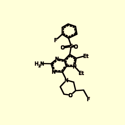 CCc1c(S(=O)(=O)c2ccccc2F)c2nc(N)nc(N3CCOC(CF)C3)c2n1CC